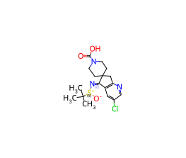 CC(C)(C)[S@@+]([O-])/N=C1\c2cc(Cl)cnc2CC12CCN(C(=O)O)CC2